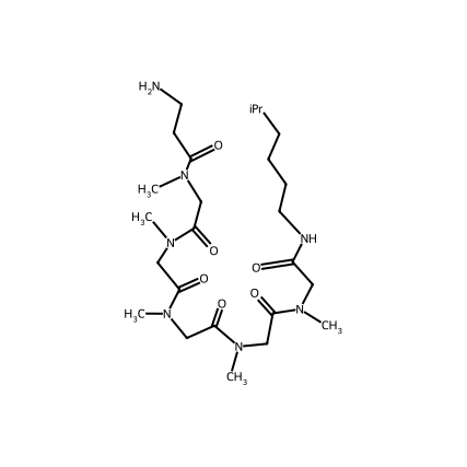 CC(C)CCCCNC(=O)CN(C)C(=O)CN(C)C(=O)CN(C)C(=O)CN(C)C(=O)CN(C)C(=O)CCN